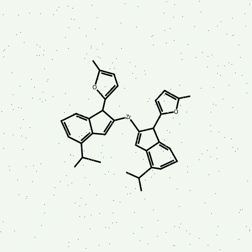 Cc1ccc(C2[C]([Zr][C]3=Cc4c(C(C)C)cccc4C3c3ccc(C)o3)=Cc3c(C(C)C)cccc32)o1